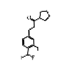 O=C(CCc1ccc(C(F)F)c(F)c1)C1CCCC1